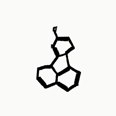 Clc1ccc2c(n1)-c1cccc3cccc-2c13